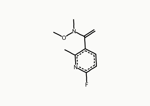 C=C(c1ccc(F)nc1C)N(C)OC